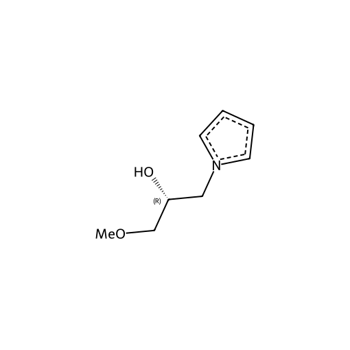 COC[C@H](O)Cn1cccc1